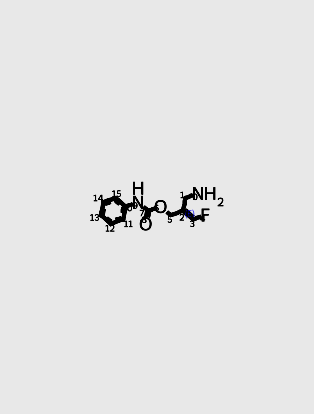 NC/C(=C\F)COC(=O)Nc1ccccc1